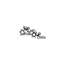 CCN(C(=O)CC[AsH]c1ccc(C(=O)OC)cc1[N+](=O)[O-])C1CCCCC1